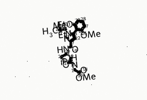 CCC(C)(CC)Cn1nc(C(=O)N[C@H](CC(=O)NCC(=O)OC)CC(C)C)cc1-c1c(OC)cccc1OC